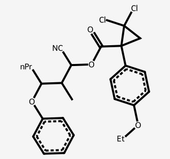 CCCC(Oc1ccccc1)C(C)C(C#N)OC(=O)C1(c2ccc(OCC)cc2)CC1(Cl)Cl